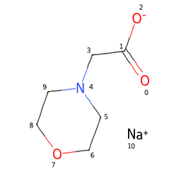 O=C([O-])CN1CCOCC1.[Na+]